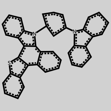 c1cc(-n2c3ccccc3c3ccccc32)cc(-n2c3ccccc3c3c4sc5ccccc5c4c4ccccc4c32)c1